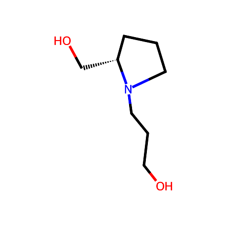 OCCCN1CCC[C@H]1CO